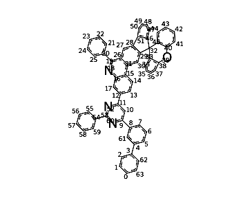 c1ccc(-c2cccc(-c3cc(-c4ccc5c(c4)nc(-c4ccccc4)c4cc6c(cc45)C4(c5ccccc5Oc5ccccc54)c4ccccc4-6)nc(-c4ccccc4)n3)c2)cc1